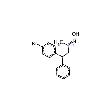 C/C(CC(c1ccccc1)c1ccc(Br)cc1)=N\O